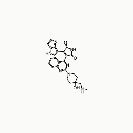 CNCC1(O)CCN(c2nc(C3=C(c4c[nH]c5ccsc45)C(=O)NC3=O)c3ccccc3n2)CC1